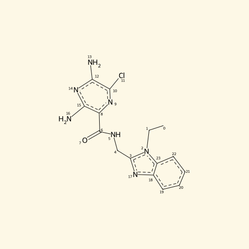 CCn1c(CNC(=O)c2nc(Cl)c(N)nc2N)nc2ccccc21